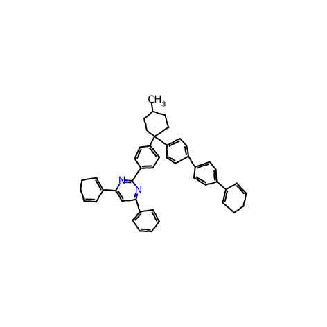 CC1CCC(c2ccc(-c3ccc(C4=CCCC=C4)cc3)cc2)(c2ccc(-c3nc(C4=CCCC=C4)cc(-c4ccccc4)n3)cc2)CC1